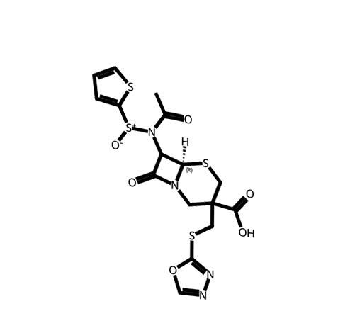 CC(=O)N(C1C(=O)N2CC(CSc3nnco3)(C(=O)O)CS[C@H]12)[S+]([O-])c1cccs1